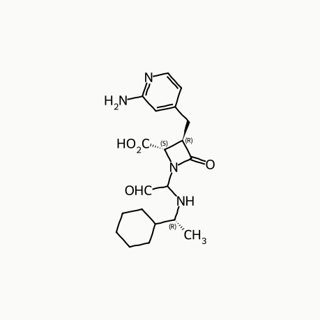 C[C@@H](NC(C=O)N1C(=O)[C@H](Cc2ccnc(N)c2)[C@H]1C(=O)O)C1CCCCC1